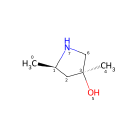 C[C@@H]1C[C@](C)(O)CN1